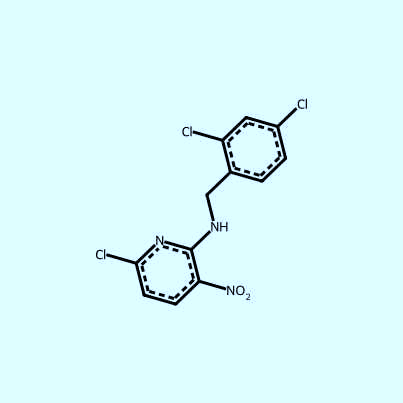 O=[N+]([O-])c1ccc(Cl)nc1NCc1ccc(Cl)cc1Cl